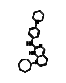 C1=CN(C2CCCCCC2)C2NC(Nc3ccc(N4CCCCC4)cc3)=NC=C2C1